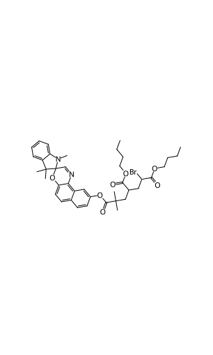 CCCCOC(=O)C(Br)CC(CC(C)(C)C(=O)Oc1ccc2ccc3c(c2c1)N=CC1(O3)N(C)c2ccccc2C1(C)C)C(=O)OCCCC